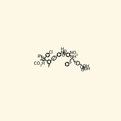 Cc1c(C(=O)O)c(-c2cc(F)cc(N3CCN(c4ccc(NS(=O)(=O)c5ccc(NC(CCN6CCC(COP(=O)(O)O)CC6)CSc6ccccc6)c([N+](=O)[O-])c5)cc4)CC3)c2)c(-c2ccc(Cl)cc2)n1C(C)C